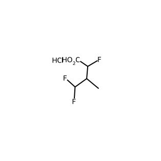 CC(C(F)F)C(F)C(=O)O.Cl